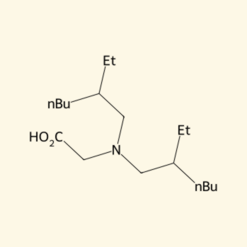 CCCCC(CC)CN(CC(=O)O)CC(CC)CCCC